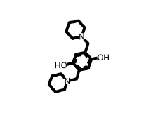 Oc1cc(CN2CCCCC2)c(O)cc1CN1CCCCC1